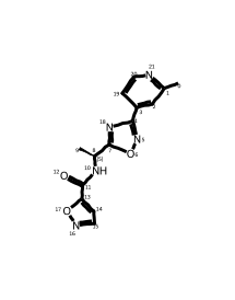 Cc1cc(-c2noc([C@H](C)NC(=O)c3ccno3)n2)ccn1